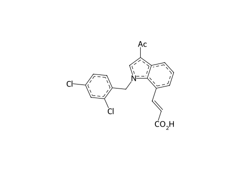 CC(=O)c1cn(Cc2ccc(Cl)cc2Cl)c2c(C=CC(=O)O)cccc12